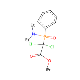 CCN(CC)P(=O)(c1ccccc1)C(Cl)(Cl)C(=O)OC(C)C